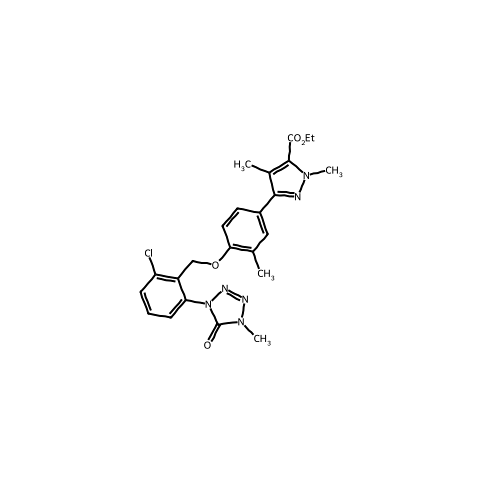 CCOC(=O)c1c(C)c(-c2ccc(OCc3c(Cl)cccc3-n3nnn(C)c3=O)c(C)c2)nn1C